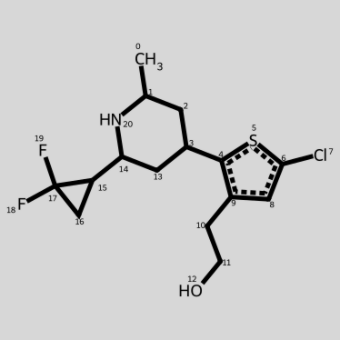 CC1CC(c2sc(Cl)cc2CCO)CC(C2CC2(F)F)N1